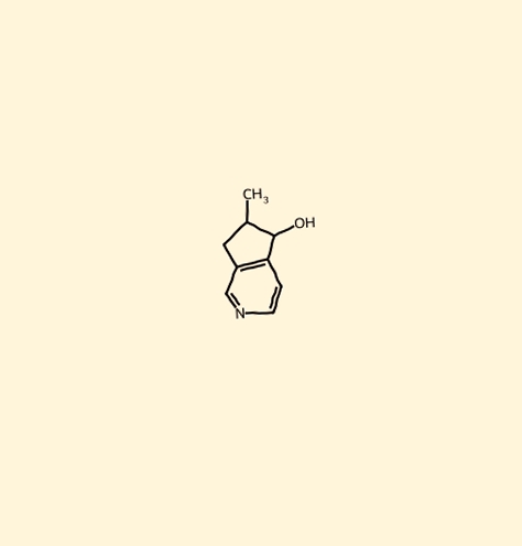 CC1Cc2cnccc2C1O